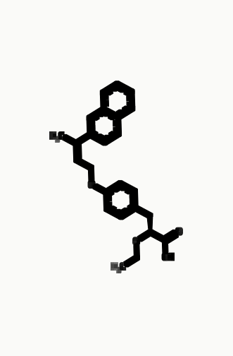 CCO[C@@H](Cc1ccc(OC/C=C(/C)c2ccc3ccccc3c2)cc1)C(=O)O